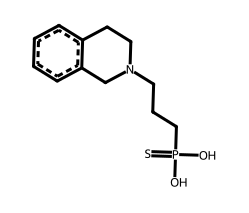 OP(O)(=S)CCCN1CCc2ccccc2C1